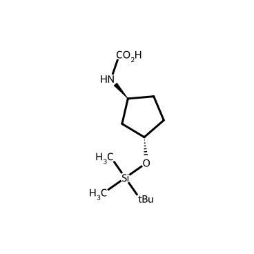 CC(C)(C)[Si](C)(C)O[C@H]1CC[C@H](NC(=O)O)C1